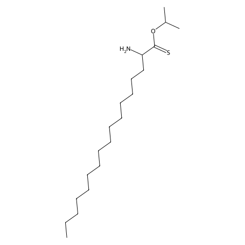 CCCCCCCCCCCCCCCC(N)C(=S)OC(C)C